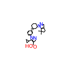 CC1(C)CCc2cnn(C3CCC[C@@H](c4cccc(-n5ncc(C(=O)O)c5C5CC5)c4)C3)c21